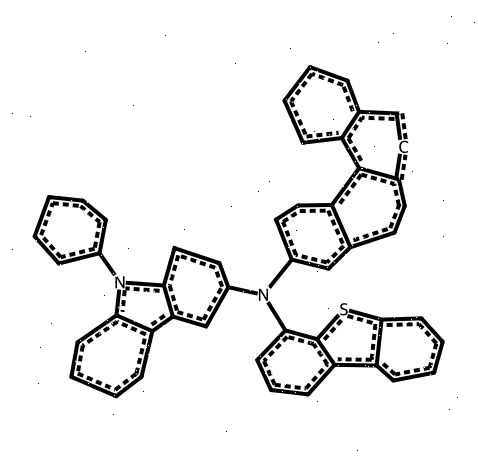 c1ccc(-n2c3ccccc3c3cc(N(c4ccc5c(ccc6ccc7ccccc7c65)c4)c4cccc5c4sc4ccccc45)ccc32)cc1